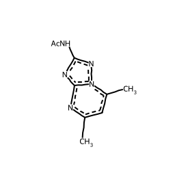 CC(=O)Nc1nc2nc(C)cc(C)n2n1